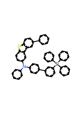 c1ccc(-c2ccc3sc4ccc(N(c5ccccc5)c5ccc(-c6cccc([Si](c7ccccc7)(c7ccccc7)c7ccccc7)c6)cc5)cc4c3c2)cc1